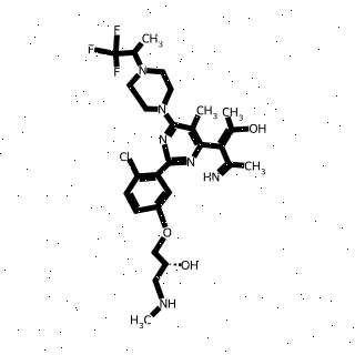 CNC[C@@H](O)COc1ccc(Cl)c(-c2nc(/C(C(C)=N)=C(\C)O)c(C)c(N3CCN(C(C)C(F)(F)F)CC3)n2)c1